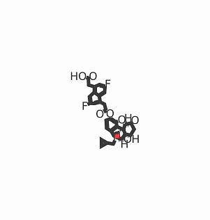 O=C(O)Cc1cc(F)cc2c(CC(=O)Oc3ccc4c5c3O[C@H]3C(=O)CC[C@@]6(O)[C@@H](C4)N(CC4CC4)CC[C@]536)cc(F)cc12